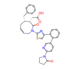 O=C(O)C[C@@H]1C(=O)N(c2nc(-c3ccccc3-c3ccc(N4CCCC4=O)nc3)cs2)C/C=C\C[C@@H]1Cc1ccccc1